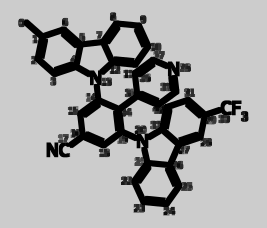 Cc1ccc2c(c1)c1ccccc1n2-c1cc(C#N)cc(-n2c3ccccc3c3cc(C(F)(F)F)ccc32)c1-c1ccncc1